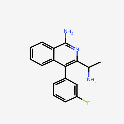 CC(N)c1nc(N)c2ccccc2c1-c1cccc(F)c1